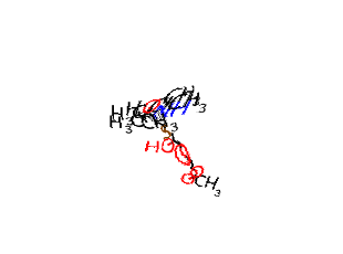 CC(=O)OCCOCC(O)CSCC[C@H](NC(C)(C)C)C(=O)C(C)(C)C